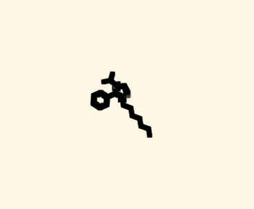 CCCCCCC[n+]1ccn(C(C)C)c1-c1ccccc1